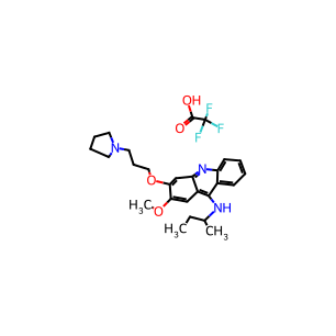 CCC(C)Nc1c2ccccc2nc2cc(OCCCN3CCCC3)c(OC)cc12.O=C(O)C(F)(F)F